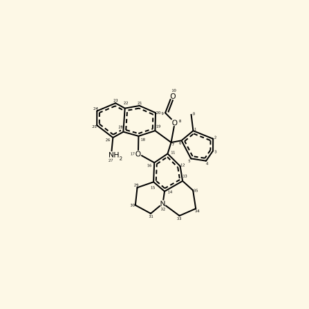 Cc1ccccc1C1(OC=O)c2cc3c4c(c2Oc2c1ccc1cccc(N)c21)CCCN4CCC3